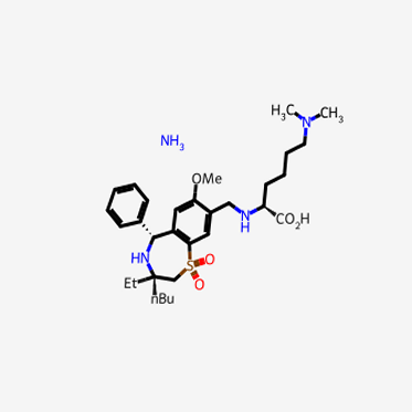 CCCC[C@]1(CC)CS(=O)(=O)c2cc(CN[C@@H](CCCCN(C)C)C(=O)O)c(OC)cc2[C@@H](c2ccccc2)N1.N